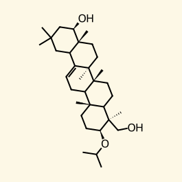 CC(C)O[C@H]1CC[C@@]2(C)C(CC[C@]3(C)C2CC=C2C4CC(C)(C)C[C@@H](O)[C@]4(C)CC[C@]23C)[C@@]1(C)CO